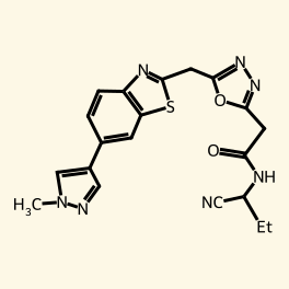 CCC(C#N)NC(=O)Cc1nnc(Cc2nc3ccc(-c4cnn(C)c4)cc3s2)o1